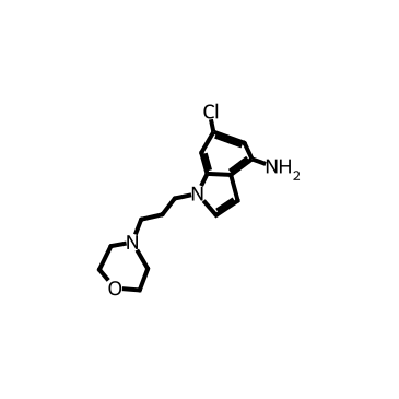 Nc1cc(Cl)cc2c1ccn2CCCN1CCOCC1